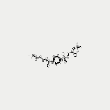 CC(C)(C)OC(=O)COS(=O)(=O)c1ccc(C(=O)OCCCN)cc1